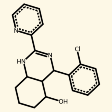 OC1CCCC2NC(c3ccccn3)=NC(c3ccccc3Cl)C12